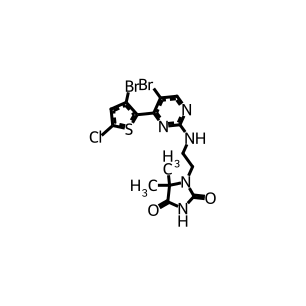 CC1(C)C(=O)NC(=O)N1CCNc1ncc(Br)c(-c2sc(Cl)cc2Br)n1